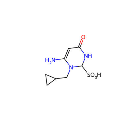 NC1=CC(=O)NC(S(=O)(=O)O)N1CC1CC1